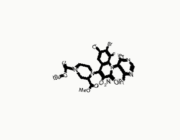 COC(=O)C1CN(C(=O)OC(C)(C)C)CCN1c1c([N+](=O)[O-])c(=O)n(-c2c(C(C)C)ncnc2C(C)C)c2c(F)c(Br)c(Cl)cc12